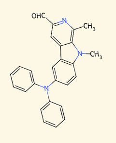 Cc1nc(C=O)cc2c3cc(N(c4ccccc4)c4ccccc4)ccc3n(C)c12